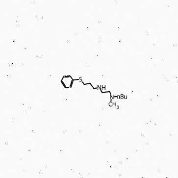 CCCCN(C)CCNCCCSc1ccccc1